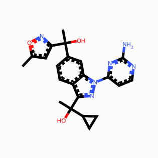 Cc1cc(C(C)(O)c2ccc3c(C(C)(O)C4CC4)nn(-c4ccnc(N)n4)c3c2)no1